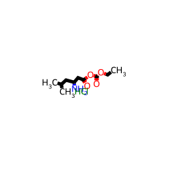 CCOC(=O)OC(=O)CC(N)CC(C)C.Cl